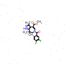 COC(=O)C1=CN(C(=O)c2ccc(F)c(F)c2)CC(C)(C)c2[nH]nc(C)c21